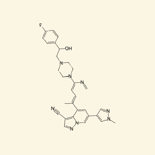 C=N/C(=C\C=C(/C)c1cc(-c2cnn(C)c2)cn2ncc(C#N)c12)N1CCN(CC(O)c2ccc(F)cc2)CC1